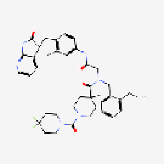 CCC1(C(=O)N(CC(=O)Nc2ccc3c(c2)C[C@@]2(C3)C(=O)Nc3ncccc32)Cc2ccccc2CNC)CCN(C(=O)N2CCC(F)(F)CC2)CC1